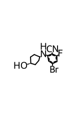 N#Cc1c(F)cc(Br)cc1N[C@H]1CC[C@H](O)CC1